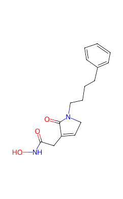 O=C(CC1=CCN(CCCCc2ccccc2)C1=O)NO